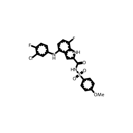 COc1ccc(S(=O)(=O)NC(=O)c2cc3c(Nc4ccc(F)c(Cl)c4)ccc(F)c3[nH]2)cc1